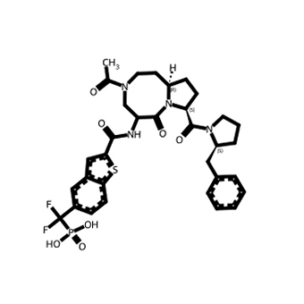 CC(=O)N1CC[C@H]2CC[C@@H](C(=O)N3CCC[C@H]3Cc3ccccc3)N2C(=O)C(NC(=O)c2cc3cc(C(F)(F)P(=O)(O)O)ccc3s2)C1